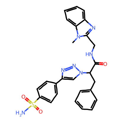 Cn1c(CNC(=O)C(Cc2ccccc2)n2cc(-c3ccc(S(N)(=O)=O)cc3)nn2)nc2ccccc21